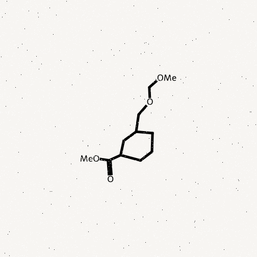 COCOCC1CCCC(C(=O)OC)C1